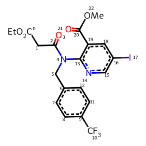 CCOC(=O)CC(=O)N(Cc1ccc(C(F)(F)F)cc1)c1ncc(I)cc1C(=O)OC